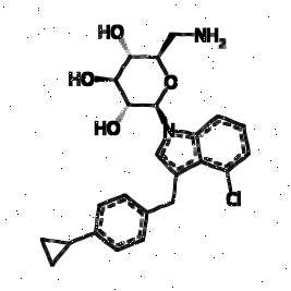 NC[C@H]1O[C@@H](n2cc(Cc3ccc(C4CC4)cc3)c3c(Cl)cccc32)[C@H](O)[C@@H](O)[C@@H]1O